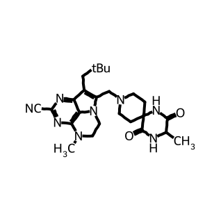 CC1NC(=O)C2(CCN(Cc3c(CC(C)(C)C)c4nc(C#N)nc5c4n3CCN5C)CC2)NC1=O